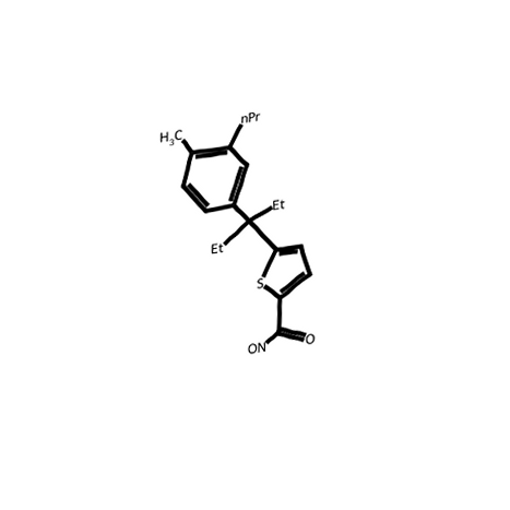 CCCc1cc(C(CC)(CC)c2ccc(C(=O)N=O)s2)ccc1C